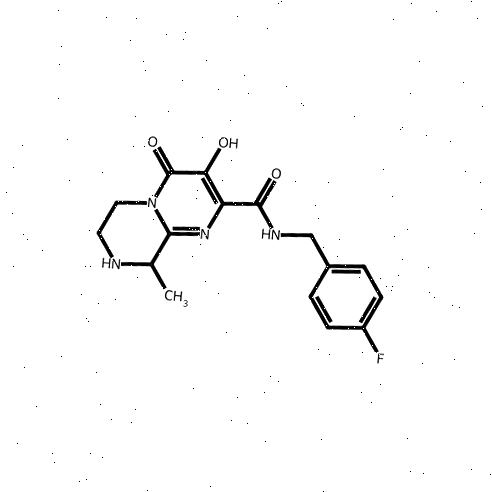 CC1NCCn2c1nc(C(=O)NCc1ccc(F)cc1)c(O)c2=O